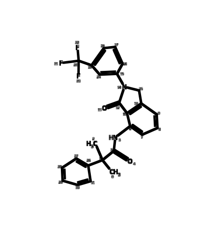 CC(C)(C(=O)Nc1cccc2c1C(=O)N(c1cccc(C(F)(F)F)c1)C2)c1ccccc1